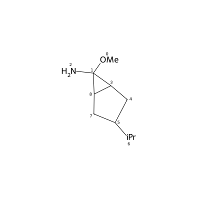 COC1(N)C2CC(C(C)C)CC21